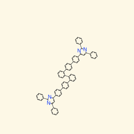 c1ccc(-c2cc(-c3ccc(-c4ccc(-c5ccccc5-c5ccccc5-c5ccc(-c6ccc(-c7cc(-c8ccccc8)nc(-c8ccccc8)n7)cc6)cc5)cc4)cc3)nc(-c3ccccc3)n2)cc1